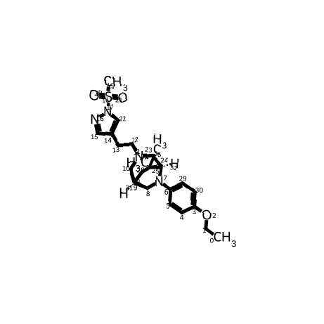 CCOc1ccc(N2C[C@H]3CN(CCc4cnn(S(C)(=O)=O)c4)C[C@@H]2C(C)(C)C3)cc1